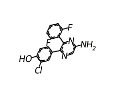 Nc1cnc(-c2ccc(O)c(Cl)c2)c(-c2c(F)cccc2F)n1